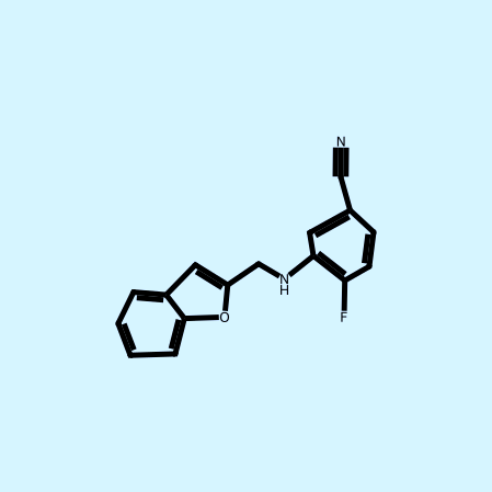 N#Cc1ccc(F)c(NCc2cc3ccccc3o2)c1